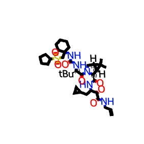 C=CCNC(=O)C(=O)C(CC1CC1)NC(=O)[C@@H]1[C@@H]2[C@H](CN1C(=O)[C@@H](NC(=O)NC1(CS(=O)(=O)C3CCCC3)CCCCC1)C(C)(C)C)C2(C)C